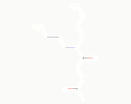 CC(=O)CCC(=O)N(CCCN)CCCN